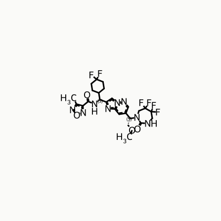 COC[C@H](c1cnn2cc([C@@H](NC(=O)c3nonc3C)C3CCC(F)(F)CC3)nc2c1)N1CC(F)(F)C(F)(F)CNC1=O